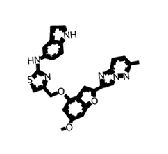 COc1cc(OCc2csc(Nc3ccc4[nH]ccc4c3)n2)c2cc(-c3cn4nc(C)ccc4n3)oc2c1